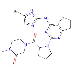 CC(C)c1cnc(Nc2nc(N3CCCC3C(=O)N3CCN(C)C(=O)C3)nc3c2CCC3)[nH]1